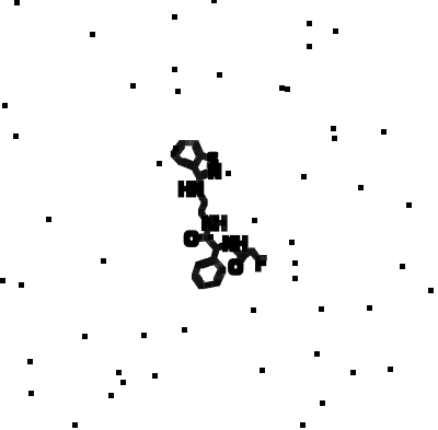 O=C(CF)N[C@H](C(=O)NCCNc1nsc2ccccc12)c1ccccc1